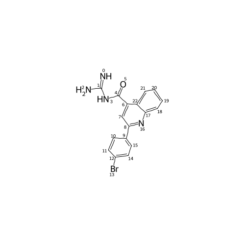 N=C(N)NC(=O)c1cc(-c2ccc(Br)cc2)nc2ccccc12